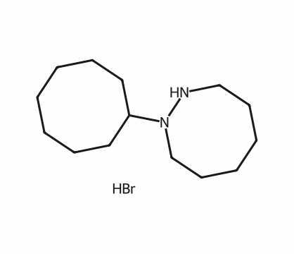 Br.C1CCCC(N2CCCCCCN2)CCC1